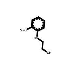 COc1ccccc1NCCO